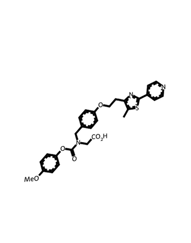 COc1ccc(OC(=O)N(CC(=O)O)Cc2ccc(OCCc3nc(-c4ccncc4)sc3C)cc2)cc1